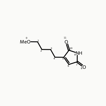 COCCCCC1=CC(=O)NC1=O